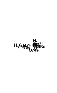 COCCOCOC(COCCCCCC(=O)NNC(=O)[C@@H](CC(C)C)NC(=O)OC(C)(C)C)COS(=O)(=O)c1ccc(C)cc1